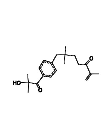 C=C(C)C(=O)CCC(C)(C)Cc1ccc(C(=O)C(C)(C)O)cc1